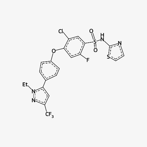 CCn1nc(C(F)(F)F)cc1-c1ccc(Oc2cc(F)c(S(=O)(=O)Nc3nccs3)cc2Cl)cc1